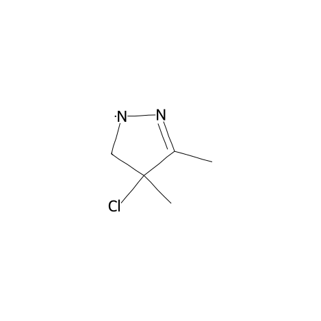 CC1=N[N]CC1(C)Cl